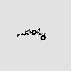 CC(C)CCc1cn(-c2ccc(NC(=O)Nc3ccccc3F)cc2)nn1